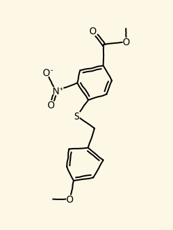 COC(=O)c1ccc(SCc2ccc(OC)cc2)c([N+](=O)[O-])c1